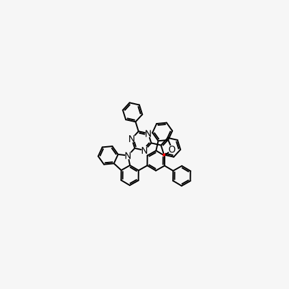 c1ccc(-c2nc(-c3ccccc3)nc(-n3c4ccccc4c4cccc(-c5cc(-c6ccccc6)c6oc7ccccc7c6c5)c43)n2)cc1